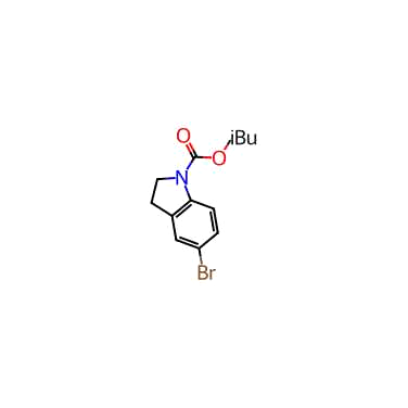 CCC(C)OC(=O)N1CCc2cc(Br)ccc21